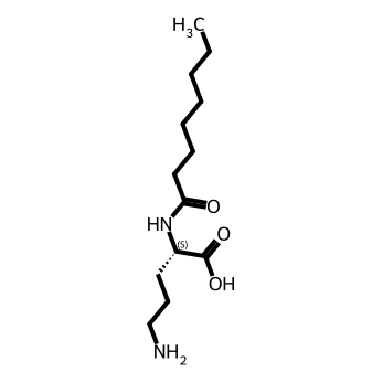 CCCCCCCC(=O)N[C@@H](CCCN)C(=O)O